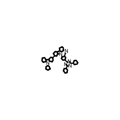 N#Cc1cc(-c2nc(-c3ccccc3)nc(-c3ccccc3)n2)ccc1-n1c2ccccc2c2ccc(-c3ccc4c(c3)c3ccccc3n4-c3ccccc3)cc21